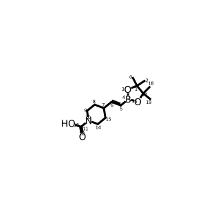 CC1(C)OB(/C=C/C2CCN(C(=O)O)CC2)OC1(C)C